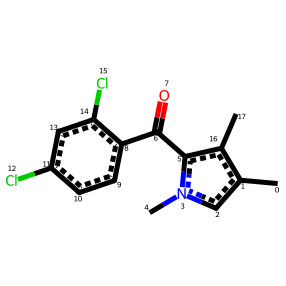 Cc1cn(C)c(C(=O)c2ccc(Cl)cc2Cl)c1C